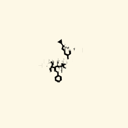 COc1cc(C(=O)NCC(O)(c2cc3c(c(-c4ccc(F)cc4)n2)OC[C@]3(C)C(N)=O)C(F)(F)F)cc2cc(C3CC3)nn12